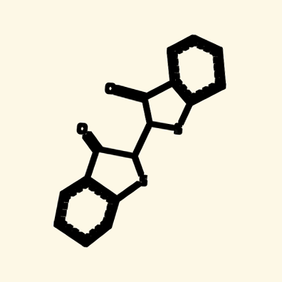 O=C1c2ccccc2SC1C1Sc2ccccc2C1=O